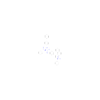 c1ccc(-c2ccc(-c3nc(-c4ccccc4)nc(-c4ccc(-c5cc(-c6ccccc6)nc6ccc7ccccc7c56)cc4)n3)cc2)cc1